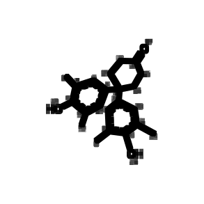 Cc1cc(C2(c3cc(C)c(O)c(C)c3)CCC(=O)CC2)cc(C)c1O